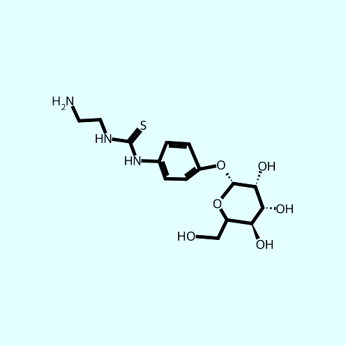 NCCNC(=S)Nc1ccc(O[C@H]2OC(CO)[C@H](O)[C@@H](O)[C@H]2O)cc1